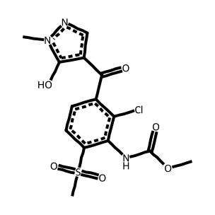 COC(=O)Nc1c(S(C)(=O)=O)ccc(C(=O)c2cnn(C)c2O)c1Cl